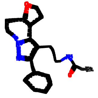 CCC(=O)NCCc1c(-c2ccccc2)nn2ccc3occc3c12